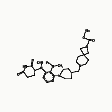 CC(C)N(C)c1c(N2CCC(CN3CCC4(CC3)CN(C(=O)OC(C)(C)C)C4)CC2)cccc1N(C=O)C1CCC(=O)NC1=O